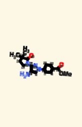 COC(=O)c1ccc(-n2cc(N)c(N3CCC(C)(C)C3=O)n2)cc1